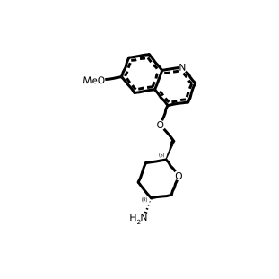 COc1ccc2nccc(OC[C@@H]3CC[C@@H](N)CO3)c2c1